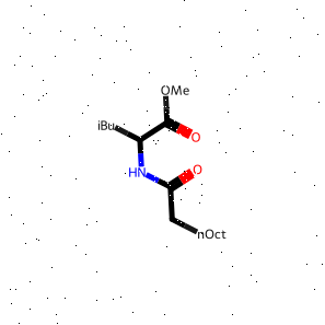 CCCCCCCCCC(=O)NC(C(=O)OC)C(C)CC